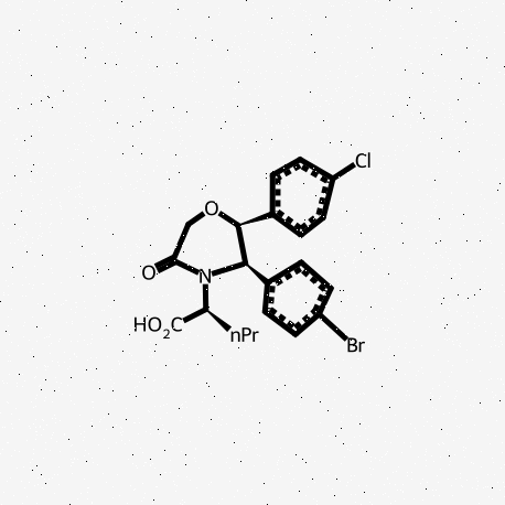 CCC[C@@H](C(=O)O)N1C(=O)CO[C@@H](c2ccc(Cl)cc2)[C@H]1c1ccc(Br)cc1